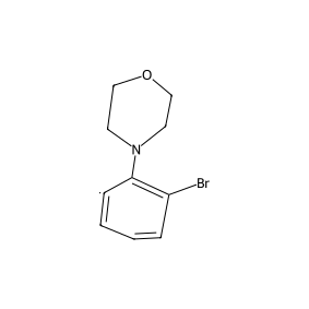 Brc1ccc[c]c1N1CCOCC1